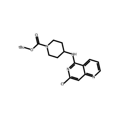 CC(C)(C)OC(=O)N1CCC(Nc2nc(Cl)cc3ncccc23)CC1